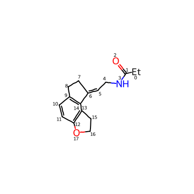 CCC(=O)NCC=C1CCc2ccc3c(c21)CCO3